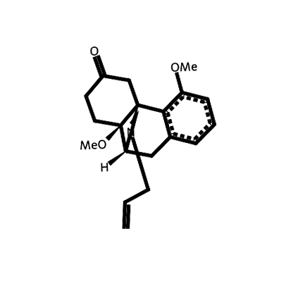 C=CCN1CCC[C@]23CC(=O)CC[C@@]2(OC)[C@H]1Cc1cccc(OC)c13